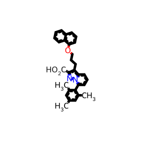 Cc1cc(C)c(-c2cccc3c(CCCOc4cccc5ccccc45)c(C(=O)O)nn23)c(C)c1